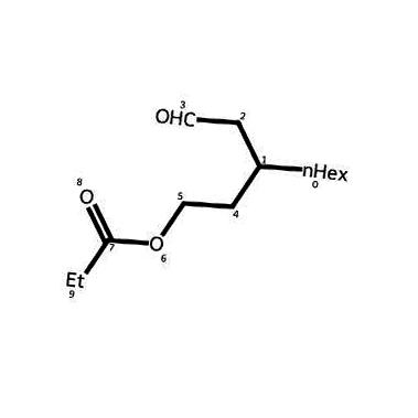 CCCCCCC(CC=O)CCOC(=O)CC